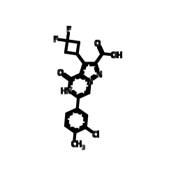 Cc1ccc(-c2cn3nc(C(=O)O)c(C4CC(F)(F)C4)c3c(=O)[nH]2)cc1Cl